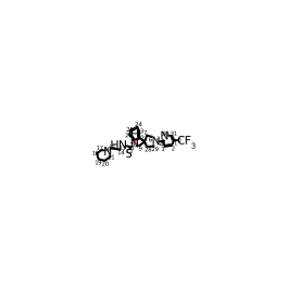 FC(F)(F)c1ccc(N2CCC(CNC(=S)NCCN3CCCCC3)(c3ccccc3)CC2)nc1